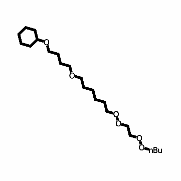 CCCCOOCCOOCCCCCCOCCCCOC1CCCCC1